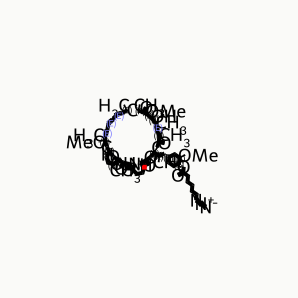 CO[C@H]1C[C@@H]2CC[C@@H](C)[C@@](O)(O2)C(=O)C(=O)N2CCCC[C@H]2C(=O)O[C@H]([C@H](C)C[C@H]2CC[C@@H](OC(=O)CCCCCN=[N+]=[N-])[C@H](OC)C2)CC(=O)[C@H](C)/C=C(\C)[C@@H](O)[C@@H](OC)C(=O)[C@H](C)C[C@H](C)/C=C/C=C/C=C/1C